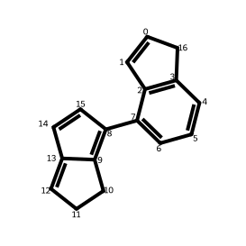 C1=Cc2c(cccc2C2=C3CCC=C3C=C2)C1